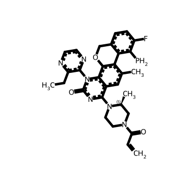 C=CC(=O)N1CCN(c2nc(=O)n(-c3nccnc3CC)c3c4c(c(C)cc23)-c2c(ccc(F)c2P)CO4)[C@@H](C)C1